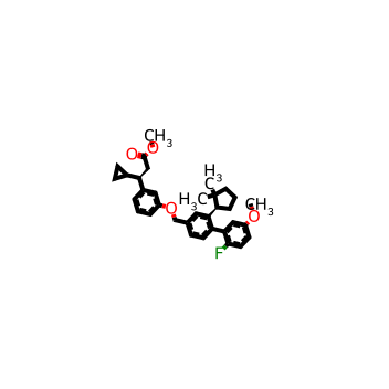 COC(=O)C[C@@H](c1cccc(OCc2ccc(-c3cc(OC)ccc3F)c([C@@H]3CCCC3(C)C)c2)c1)C1CC1